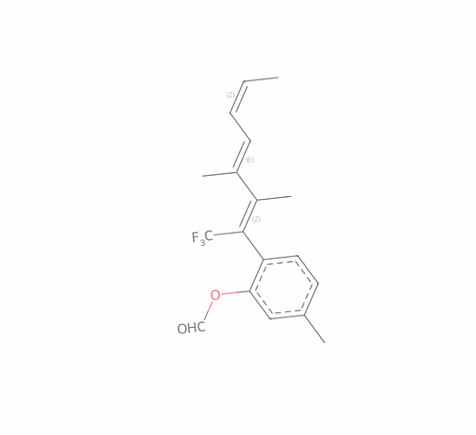 C\C=C/C=C(C)/C(C)=C(/c1ccc(C)cc1OC=O)C(F)(F)F